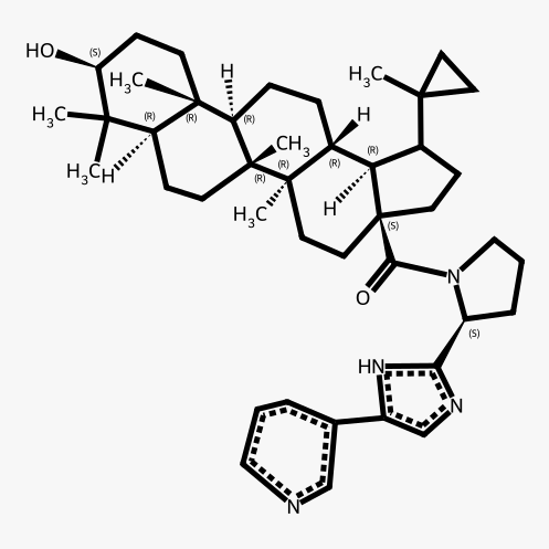 CC1(C2CC[C@]3(C(=O)N4CCC[C@H]4c4ncc(-c5cccnc5)[nH]4)CC[C@]4(C)[C@H](CC[C@@H]5[C@@]6(C)CC[C@H](O)C(C)(C)[C@@H]6CC[C@]54C)[C@@H]23)CC1